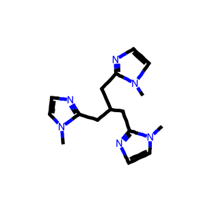 Cn1ccnc1CC(Cc1nccn1C)Cc1nccn1C